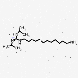 CC(C)/N=C(\NCCCCCCCCCCCCN)NC(C)C